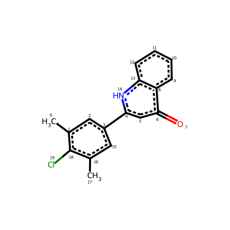 Cc1cc(-c2cc(=O)c3ccccc3[nH]2)cc(C)c1Cl